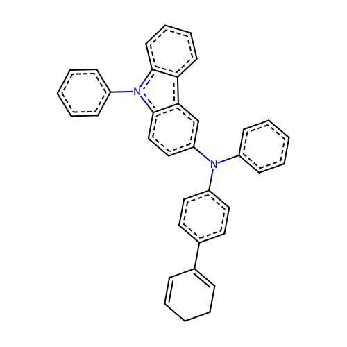 C1=CC(c2ccc(N(c3ccccc3)c3ccc4c(c3)c3ccccc3n4-c3ccccc3)cc2)=CCC1